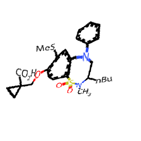 CCCCC1CN(c2ccccc2)c2cc(SC)c(OCC3(C(=O)O)CC3)cc2S(=O)(=O)N1C